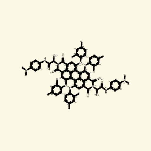 CCCC(C(=O)Nc1ccc(N(C)C)cc1)N1C(=O)c2cc(Oc3ccc(C)cc3C)c3c4c(Oc5ccc(C)cc5C)cc5c6c(cc(Oc7ccc(C)cc7C)c(c7c(Oc8ccc(C)cc8C)cc(c2c37)C1=O)c64)C(=O)N(C(CC)C(=O)Nc1ccc(N(C)C)cc1)C5=O